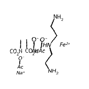 CC(=O)O.CC(=O)O.CC(=O)[O-].CC(=O)[O-].CC(=O)[O-].NCCNCCN.[Fe+2].[Na+]